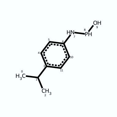 CC(C)c1ccc(NPO)cc1